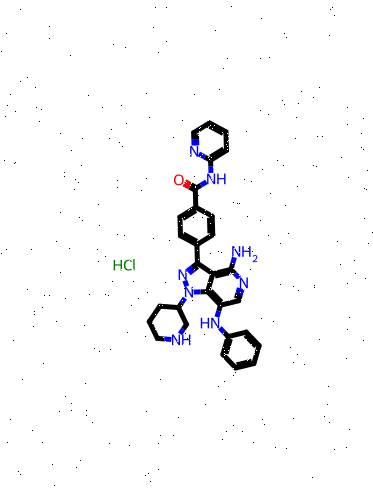 Cl.Nc1ncc(Nc2ccccc2)c2c1c(-c1ccc(C(=O)Nc3ccccn3)cc1)nn2C1CCCNC1